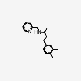 Cc1ccc(CCC(C)NCc2ccccn2)cc1C